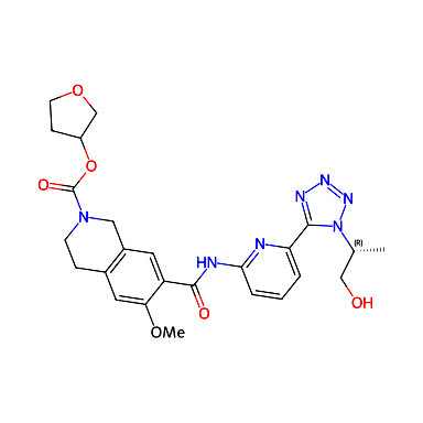 COc1cc2c(cc1C(=O)Nc1cccc(-c3nnnn3[C@H](C)CO)n1)CN(C(=O)OC1CCOC1)CC2